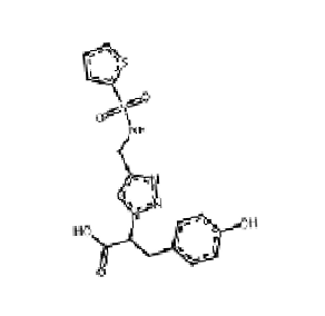 O=C(O)C(Cc1ccc(O)cc1)n1cc(CNS(=O)(=O)c2cccs2)nn1